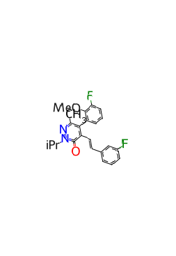 COc1c(F)cccc1-c1c(C)nn(C(C)C)c(=O)c1C=Cc1cccc(F)c1